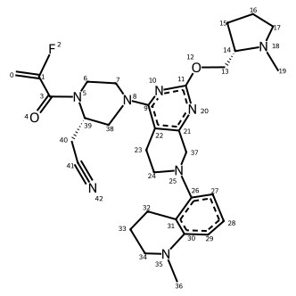 C=C(F)C(=O)N1CCN(c2nc(OC[C@@H]3CCCN3C)nc3c2CCN(c2cccc4c2CCCN4C)C3)C[C@@H]1CC#N